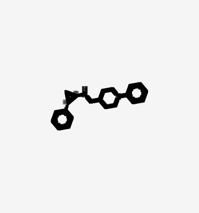 c1ccc([C@@H]2C[C@H]2NCC2CCN(c3ccccc3)CC2)cc1